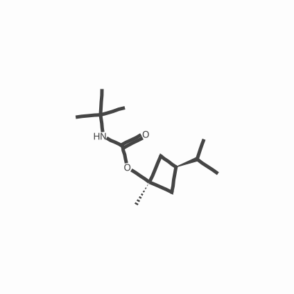 CC(C)[C@H]1C[C@@](C)(OC(=O)NC(C)(C)C)C1